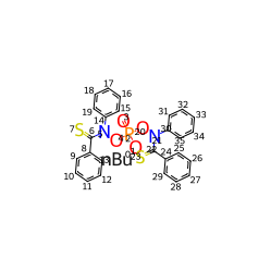 CCCCOP(=O)(ON(C(=S)c1ccccc1)c1ccccc1)ON(C(=S)c1ccccc1)c1ccccc1